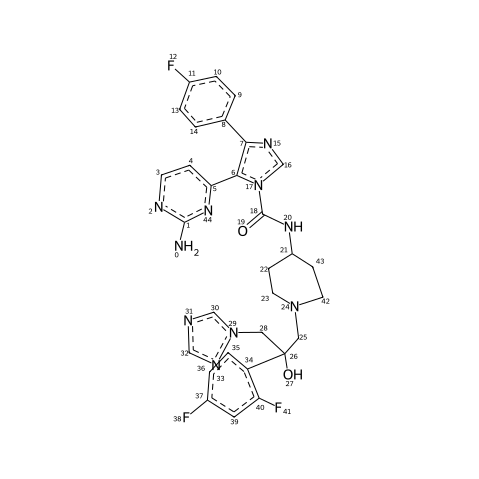 Nc1nccc(-c2c(-c3ccc(F)cc3)ncn2C(=O)NC2CCN(CC(O)(Cn3cncn3)c3ccc(F)cc3F)CC2)n1